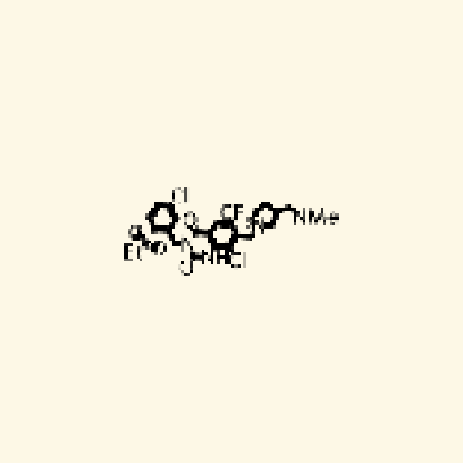 CCS(=O)(=O)c1ccc(Cl)cc1Cn1c(=O)[nH]c2c(Cl)c(CN3CCC(CNC)C3)c(C(F)(F)F)cc2c1=O